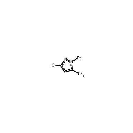 CCn1nc(O)cc1C(F)(F)F